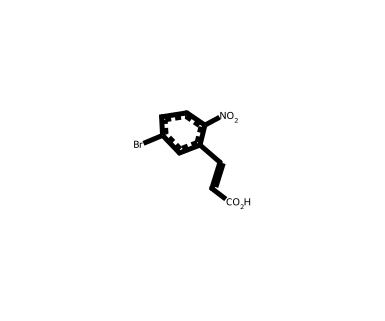 O=C(O)C=Cc1cc(Br)ccc1[N+](=O)[O-]